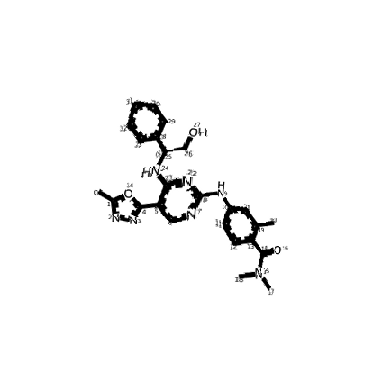 Cc1nnc(-c2cnc(Nc3ccc(C(=O)N(C)C)c(C)c3)nc2N[C@H](CO)c2ccccc2)o1